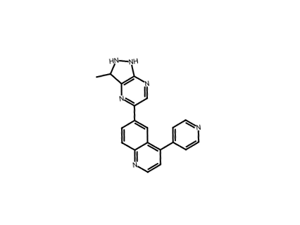 CC1NNc2ncc(-c3ccc4nccc(-c5ccncc5)c4c3)nc21